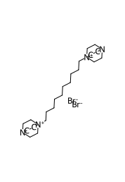 C(CCCCC[N+]12CCN(CC1)CC2)CCCC[N+]12CCN(CC1)CC2.[Br-].[Br-]